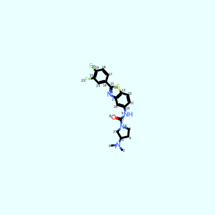 CN(C)C1CCN(C(=O)Nc2ccc3sc(-c4ccc(F)c(F)c4)nc3c2)C1